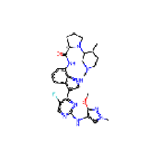 COc1nn(C)cc1Nc1ncc(F)c(-c2c[nH]c3c(NC(=O)[C@H]4CCCN4C4CN(C)CCC4C)cccc23)n1